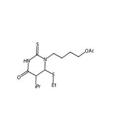 CCSC1C(C(C)C)C(=O)NC(=S)N1CCCCOC(C)=O